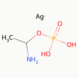 CC(N)OP(=O)(O)O.[Ag]